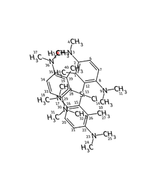 Cc1c(N(C)C)ccc(N(C)C)c1[Si](Cl)(c1c(N(C)C)ccc(N(C)C)c1C)c1c(N(C)C)ccc(N(C)C)c1C